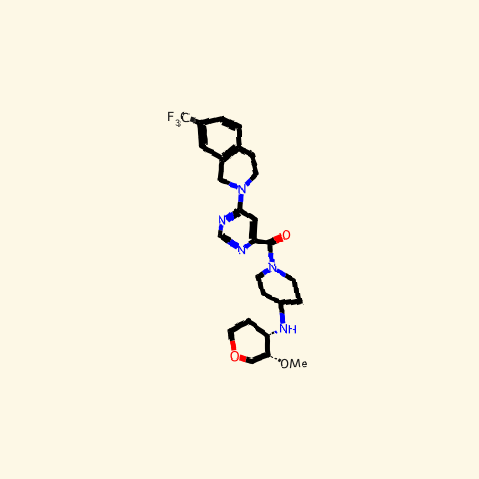 CO[C@@H]1COCC[C@@H]1NC1CCN(C(=O)c2cc(N3CCc4ccc(C(F)(F)F)cc4C3)ncn2)CC1